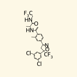 C=C(NC(C)C(=O)NCC(F)(F)F)c1ccc(C2=NOC(c3cc(Cl)cc(Cl)c3)(C(F)(F)F)C2)cc1C